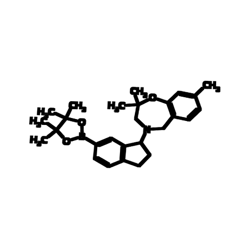 Cc1ccc2c(c1)OC(C)(C)CN(C1CCc3ccc(B4OC(C)(C)C(C)(C)O4)cc31)C2